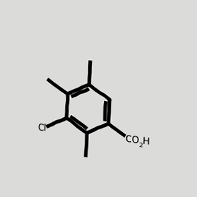 Cc1cc(C(=O)O)c(C)c(Cl)c1C